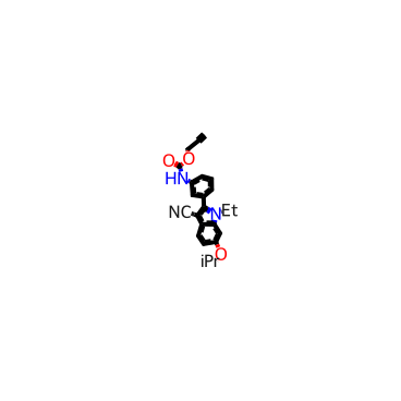 C#CCOC(=O)Nc1cccc(-c2c(C#N)c3ccc(OC(C)C)cc3n2CC)c1